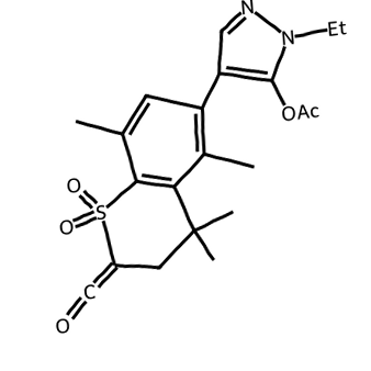 CCn1ncc(-c2cc(C)c3c(c2C)C(C)(C)CC(=C=O)S3(=O)=O)c1OC(C)=O